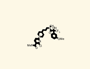 CNC(=O)c1ccc(N2CCC(CCCN(C)C(=O)C(O)(c3cccc(OC)c3)C(F)(F)F)CC2)nc1Cl